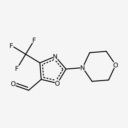 O=Cc1oc(N2CCOCC2)nc1C(F)(F)F